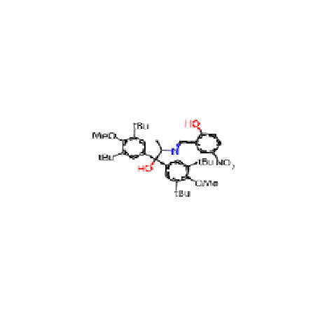 COc1c(C(C)(C)C)cc(C(O)(c2cc(C(C)(C)C)c(OC)c(C(C)(C)C)c2)C(C)N=Cc2cc([N+](=O)[O-])ccc2O)cc1C(C)(C)C